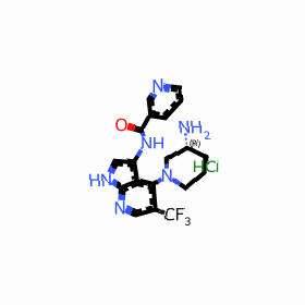 Cl.N[C@@H]1CCCN(c2c(C(F)(F)F)cnc3[nH]cc(NC(=O)c4cccnc4)c23)C1